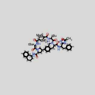 CN[C@@H](C)C(=O)NC(C(=O)N1Cc2cc(C3C[C@@H](C(=O)N[C@@H]4CCCc5ccccc54)N(C(=O)[C@@H](NC(=O)[C@H](C)NC)C(C)(C)C)C3)ccc2CC1C(=O)NC(Cc1ccccc1)c1noc(C)n1)C(C)(C)C